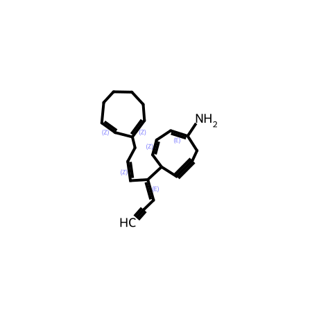 C#C/C=C(\C=C/CC1=C/CCCC/C=C\1)C1C#CC/C(N)=C\C=C/1